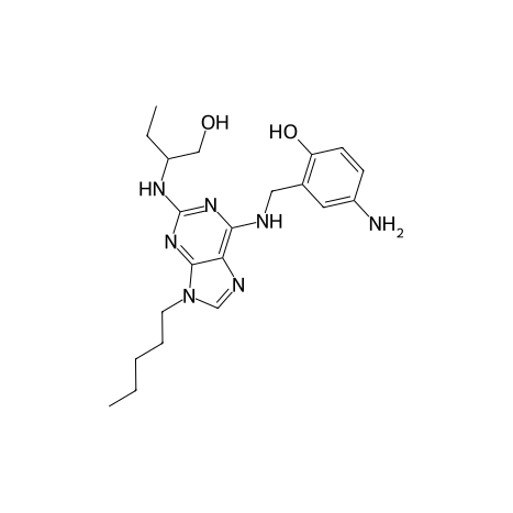 CCCCCn1cnc2c(NCc3cc(N)ccc3O)nc(NC(CC)CO)nc21